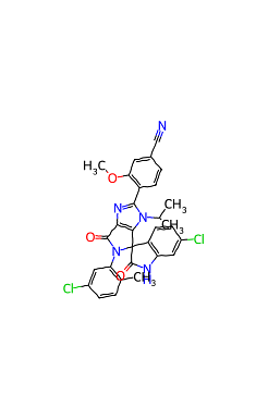 COc1cc(C#N)ccc1-c1nc2c(n1C(C)C)C1(C(=O)Nc3cc(Cl)ccc31)N(c1cc(Cl)ccc1C)C2=O